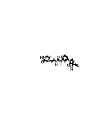 N#C[C@@]1(O)CCN(c2ccnc(NC(=O)NCCN3CCNC(=O)C3)c2)C1=O